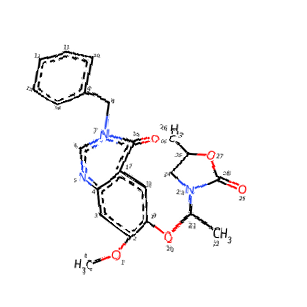 COc1cc2ncn(Cc3ccccc3)c(=O)c2cc1OC(C)N1CC(C)OC1=O